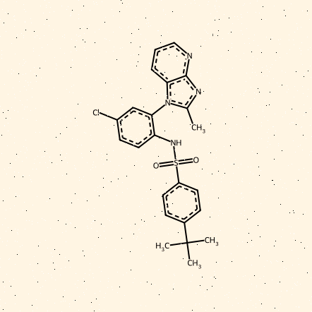 Cc1nc2ncccc2n1-c1cc(Cl)ccc1NS(=O)(=O)c1ccc(C(C)(C)C)cc1